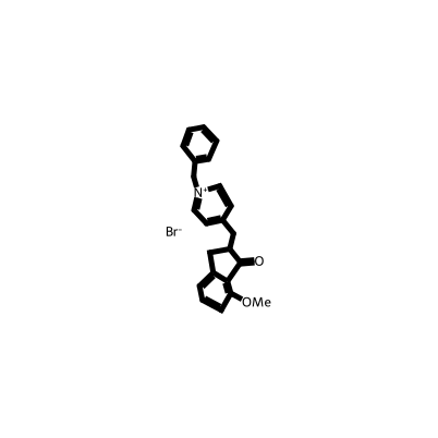 COc1cccc2c1C(=O)C(Cc1cc[n+](Cc3ccccc3)cc1)C2.[Br-]